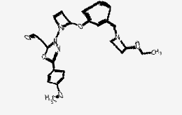 CCOC1CCN1Cc1cccc(OC2CCN2N2N=C(c3ccc(OC)cc3)OC2C=O)c1